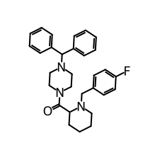 O=C(C1CCCCN1Cc1ccc(F)cc1)N1CCN(C(c2ccccc2)c2ccccc2)CC1